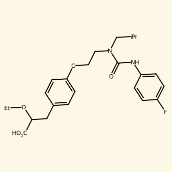 CCOC(Cc1ccc(OCCN(CC(C)C)C(=O)Nc2ccc(F)cc2)cc1)C(=O)O